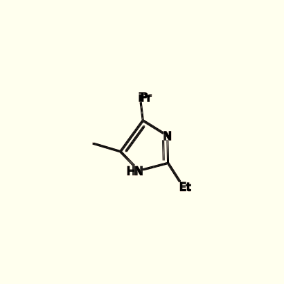 CCc1nc(C(C)C)c(C)[nH]1